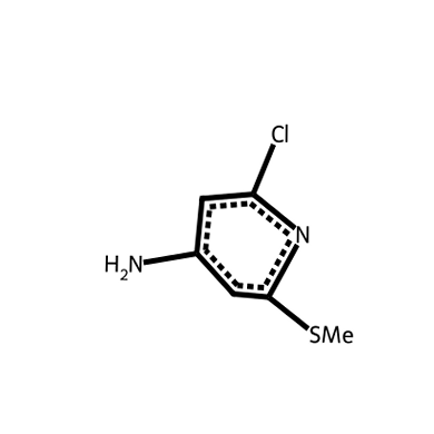 CSc1cc(N)cc(Cl)n1